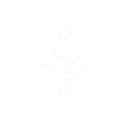 Cc1cc(-c2ccc3c(c2)C2=C(C3=C(C#N)C#N)c3cc(-c4cc(C(F)(F)F)c(C(F)(F)F)c(C(F)(F)F)c4)ccc3C2=C(C#N)C#N)cc(C(F)(F)F)c1C(F)(F)F